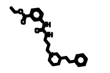 CCOC(=O)c1cccc(NC(=O)NCCCN2CCCC(CCc3ccccc3)C2)c1